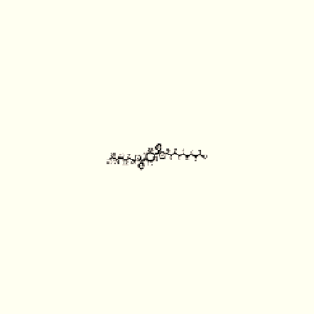 CCCCCCCCCCOC(=O)C1CCC(C(=O)OCCCCCCC)CC1